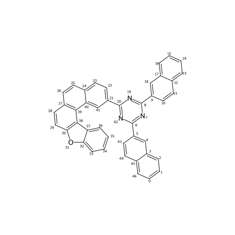 c1ccc2cc(-c3nc(-c4ccc5ccccc5c4)nc(-c4ccc5ccc6ccc7oc8ccccc8c7c6c5c4)n3)ccc2c1